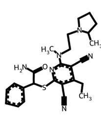 CCc1c(C#N)c(SC(C(N)=O)c2ccccc2)nc(N(C)CCN2CCCC2C)c1C#N